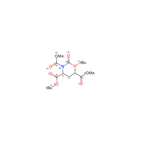 COC(=O)CCC(C(=O)OC(C)(C)C)N(C(=O)OC)C(=O)OC(C)(C)C